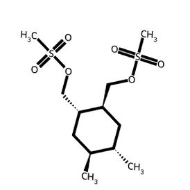 C[C@H]1C[C@H](COS(C)(=O)=O)[C@@H](COS(C)(=O)=O)C[C@@H]1C